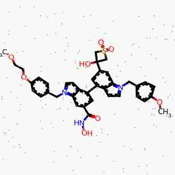 COCCOc1ccc(Cn2ccc3c(-c4cc(C5(O)CS(=O)(=O)C5)cc5c4ccn5Cc4ccc(OC)cc4)cc(C(=O)NO)cc32)cc1